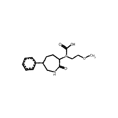 COCCN(C(=O)O)C1CCC(c2ccccc2)CNC1=O